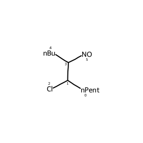 CCCCCC(Cl)C(CCCC)N=O